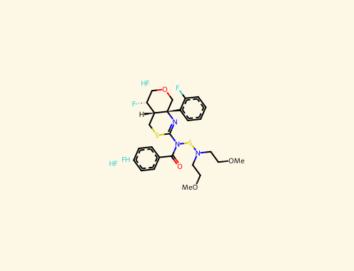 COCCN(CCOC)SN(C(=O)c1ccccc1)C1=N[C@@]2(c3ccccc3F)COC[C@@H](F)[C@H]2CS1.F.F.F